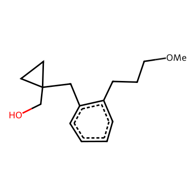 COCCCc1ccccc1CC1(CO)CC1